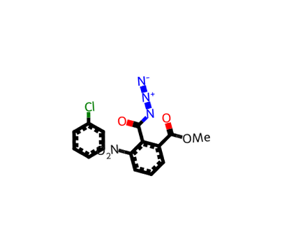 COC(=O)c1cccc([N+](=O)[O-])c1C(=O)N=[N+]=[N-].Clc1ccccc1